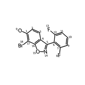 [O]c1ccc2c(-c3c(F)cccc3F)noc2c1Br